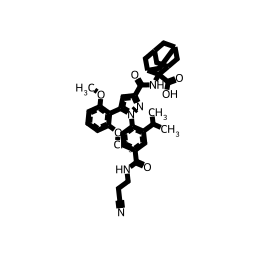 COc1cccc(OC)c1-c1cc(C(=O)NC2(C(=O)O)C3CC4CC(C3)CC2C4)nn1-c1ccc(C(=O)NCCC#N)cc1C(C)C